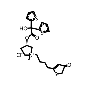 C[N+]1(CCCCC2=CC(=O)CS2)CC[C@@H](OC(=O)C(O)(c2cccs2)c2cccs2)C1.[Cl-]